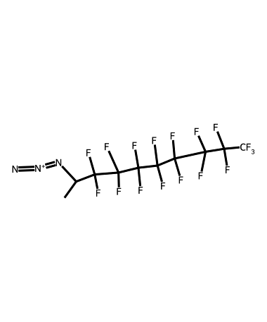 CC(N=[N+]=[N-])C(F)(F)C(F)(F)C(F)(F)C(F)(F)C(F)(F)C(F)(F)C(F)(F)C(F)(F)F